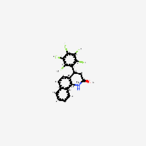 O=C1CC(c2c(F)c(F)c(F)c(F)c2F)c2ccc3ccccc3c2N1